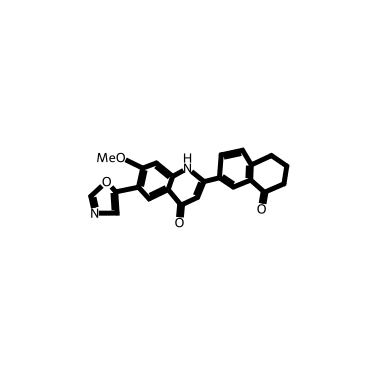 COc1cc2[nH]c(-c3ccc4c(c3)C(=O)CCC4)cc(=O)c2cc1-c1cnco1